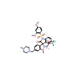 COc1ccc(S(=O)(=O)N2C(=O)C(c3ccc(CN4CCN(C)CC4)cc3OC)(N(C)[C@@H](C)C(=O)N(C)C)c3cc(Cl)ccc32)c(OC)c1